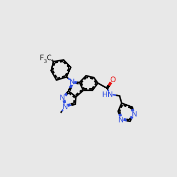 Cn1cc2c3cc(C(=O)NCc4cncnc4)ccc3n(-c3ccc(C(F)(F)F)cc3)c2n1